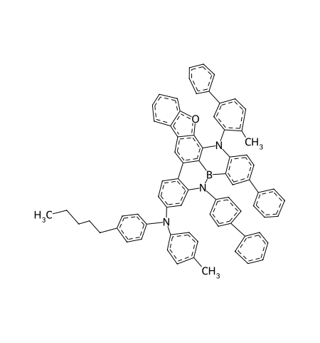 CCCCCc1ccc(N(c2ccc(C)cc2)c2ccc3c(c2)N(c2ccc(-c4ccccc4)cc2)B2c4cc(-c5ccccc5)ccc4N(c4cc(-c5ccccc5)ccc4C)c4c2c-3cc2c4oc3ccccc32)cc1